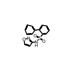 O=S(=O)(Nc1ccon1)c1ccccc1-c1ccccc1